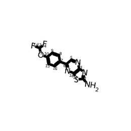 Nc1nc2ncc(-c3ccc(OC(F)F)cc3)nc2s1